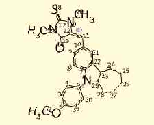 COc1ccc(N2c3ccc(/C=C4\C(=O)N(C)C(=S)N4C)cc3C3CCCCCC32)cc1